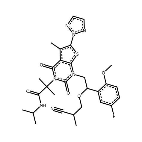 COc1ccc(F)cc1C(Cn1c(=O)n(C(C)(C)C(=O)NC(C)C)c(=O)c2c(C)c(-n3nccn3)sc21)OCC(C)C#N